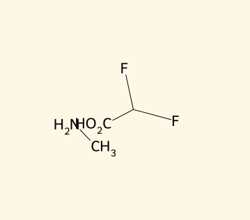 CN.O=C(O)C(F)F